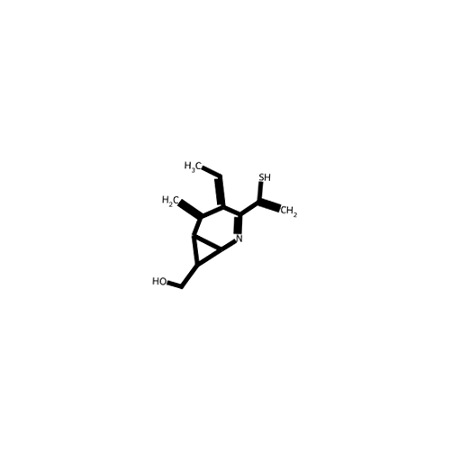 C=C(S)C1=NC2C(CO)C2C(=C)/C1=C\C